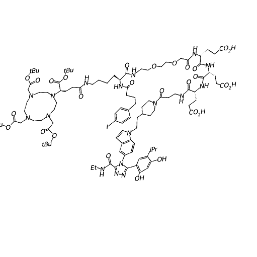 CCNC(=O)c1nnc(-c2cc(C(C)C)c(O)cc2O)n1-c1ccc2c(ccn2CCC2CCN(C(=O)CCNC(=O)[C@@H](CCC(=O)O)NC(=O)[C@@H](CCC(=O)O)NC(=O)[C@@H](CCC(=O)O)NC(=O)COCCOCCNC(=O)[C@H](CCCCNC(=O)CC[C@H](C(=O)OC(C)(C)C)N3CCN(CC(=O)OC(C)(C)C)CCN(CC(=O)OC(C)(C)C)CCN(CC(=O)OC(C)(C)C)CC3)NC(=O)CCCc3ccc(I)cc3)CC2)c1